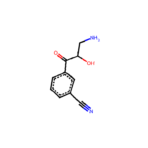 N#Cc1cccc(C(=O)C(O)CN)c1